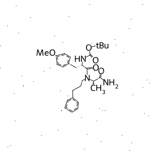 COc1ccc(C[C@H](NC(=O)OC(C)(C)C)C(=O)N(CCCc2ccccc2)[C@H](C)C(N)=O)cc1